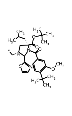 COc1cc(C(=O)N2C(c3nccs3)[C@H](CF)C[C@@]2(CC(C)C)C(=O)OC(C)(C)C)ccc1C(C)(C)C